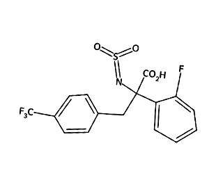 O=C(O)C(Cc1ccc(C(F)(F)F)cc1)(N=S(=O)=O)c1ccccc1F